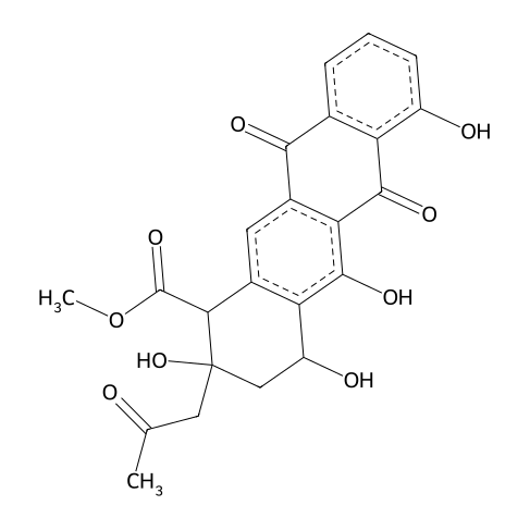 COC(=O)C1c2cc3c(c(O)c2C(O)CC1(O)CC(C)=O)C(=O)c1c(O)cccc1C3=O